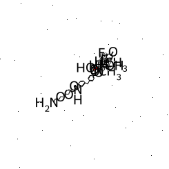 C[C@]12C=CC(=O)C=C1[C@@H](F)C[C@H]1[C@@H]3C[C@H]4OC(c5ccc(Cc6cccc(NC(=O)CCOCCOCCN)c6)cc5)O[C@@]4(C(=O)CO)[C@@]3(C)C[C@H](O)[C@@]12F